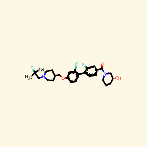 CC(C)(F)CN1CCC(COc2ccc(-c3ccc(C(=O)N4CCC[C@@H](O)C4)cc3F)c(F)c2)CC1